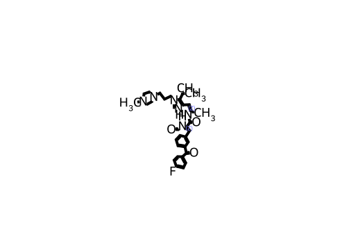 C/C(=C/c1ncn(CCCN2CCN(C)CC2)c1C(C)C)NC(=O)/C(=C/c1cccc(C(=O)c2ccc(F)cc2)c1)NC=O